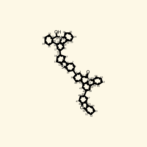 O=c1c2cc(-c3ccc4c(c3)sc3ccc(-c5cc6c7c(c5)c5ccccc5n7C(O)c5ccccc5-6)cc34)ccc2c2cc(-c3ccc4oc5ccccc5c4c3)cc3c4ccccc4n1c23